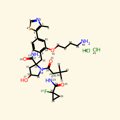 Cc1ncsc1-c1ccc(CC2(C(N)=O)CC(O)CN2C(=O)[C@@H](NC(=O)C2(F)CC2)C(C)(C)C)c(OCCCCN)c1.Cl.Cl